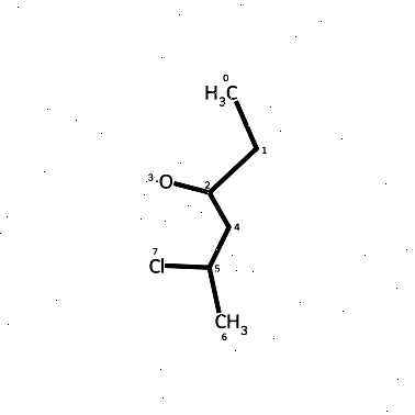 CCC([O])CC(C)Cl